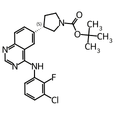 CC(C)(C)OC(=O)N1CC[C@@H](c2ccc3ncnc(Nc4cccc(Cl)c4F)c3c2)C1